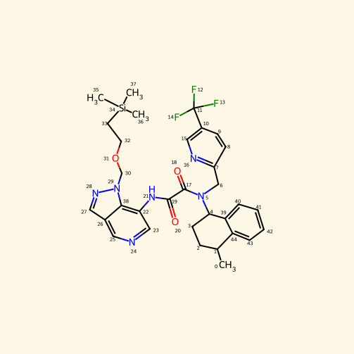 CC1CCC(N(Cc2ccc(C(F)(F)F)cn2)C(=O)C(=O)Nc2cncc3cnn(COCC[Si](C)(C)C)c23)c2ccccc21